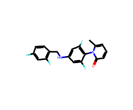 Cc1cccc(=O)n1-c1c(F)cc(NCc2ccc(F)cc2F)cc1F